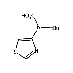 CC(C)(C)N(C(=O)O)c1cscn1